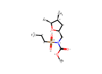 CC(=O)[C@@H]1O[C@H](CN(C(=O)OC(C)(C)C)S(=O)(=O)CCC(F)(F)F)C[C@@H]1C